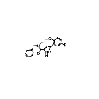 CCN(Cc1ccccc1)C(=O)c1cc(-c2cc(F)ccc2O)n[nH]1